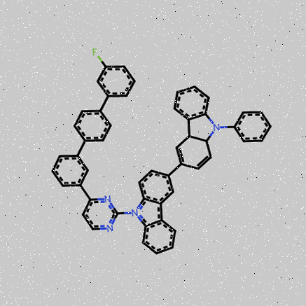 Fc1cccc(-c2ccc(-c3cccc(-c4ccnc(-n5c6ccccc6c6cc(C7=CC8c9ccccc9N(c9ccccc9)C8C=C7)ccc65)n4)c3)cc2)c1